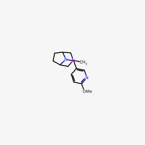 COc1ccc(CN2C3CCC2CN(C)C3)cn1